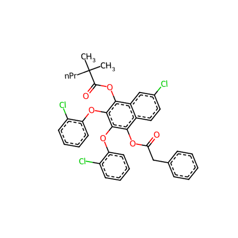 CCCC(C)(C)C(=O)Oc1c(Oc2ccccc2Cl)c(Oc2ccccc2Cl)c(OC(=O)Cc2ccccc2)c2ccc(Cl)cc12